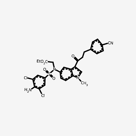 CCOC(=O)CN(c1ccc2c(c1)c(C(=O)CCc1ccc(C#N)cc1)cn2C)S(=O)(=O)c1cc(Cl)c(N)c(Cl)c1